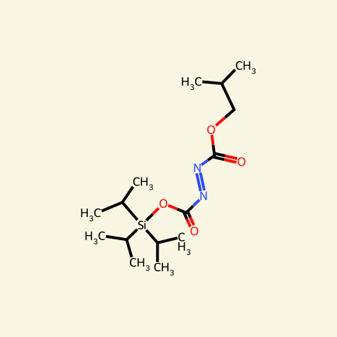 CC(C)COC(=O)N=NC(=O)O[Si](C(C)C)(C(C)C)C(C)C